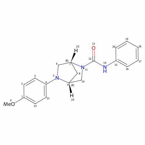 COc1ccc(N2C[C@H]3C[C@@H]2CN3C(=O)Nc2ccccc2)cc1